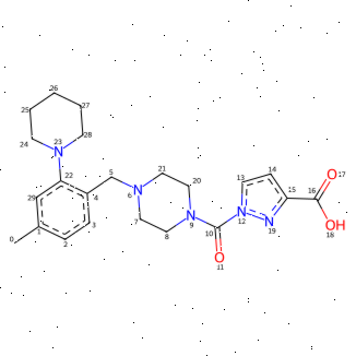 Cc1ccc(CN2CCN(C(=O)n3ccc(C(=O)O)n3)CC2)c(N2CCCCC2)c1